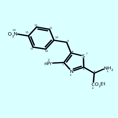 CCCc1nc(C(N)C(=O)OCC)sc1Cc1ccc([N+](=O)[O-])cc1